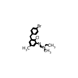 CCN(C)C=Nc1cc(C)cc(Cc2ccc(Br)cc2)c1Cl